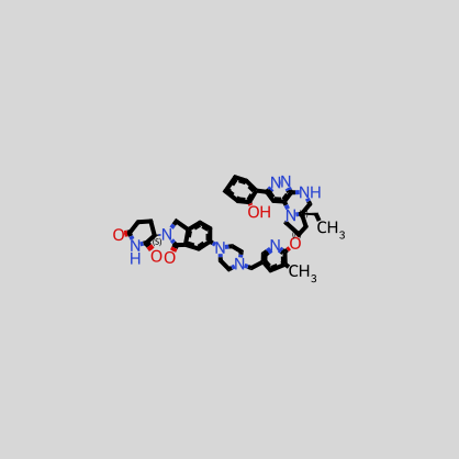 CC[C@]12CNc3nnc(-c4ccccc4O)cc3N1C[C@H](Oc1ncc(CN3CCN(c4ccc5c(c4)C(=O)N([C@H]4CCC(=O)NC4=O)C5)CC3)cc1C)C2